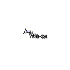 C=C/C=C(\C=C(C)C)c1cn(CC(=O)Nc2ccc(C3=CNC(N(C)C)C=C3)cn2)nc1C